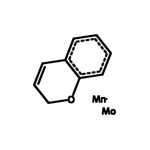 C1=Cc2ccccc2OC1.[Mn].[Mo]